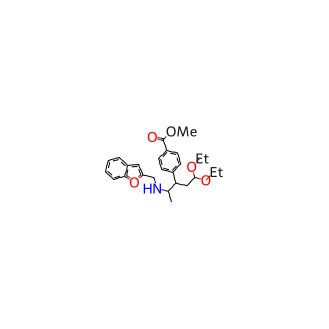 CCOC(CC(c1ccc(C(=O)OC)cc1)C(C)NCc1cc2ccccc2o1)OCC